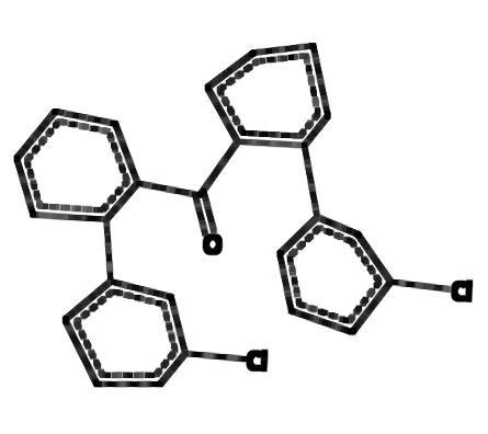 O=C(c1ccccc1-c1cccc(Cl)c1)c1ccccc1-c1cccc(Cl)c1